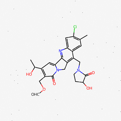 Cc1cc2c(CN3CCC(O)C3=O)c3c(nc2cc1Cl)-c1cc(C(C)O)c(COC=O)c(=O)n1C3